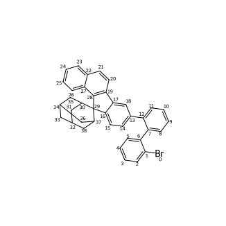 Brc1ccccc1-c1ccccc1-c1ccc2c(c1)-c1ccc3ccccc3c1C21C2CC3CC(C2)CC1C3